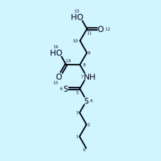 CCCCSC(=S)NC(CCC(=O)O)C(=O)O